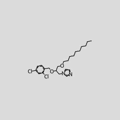 CCCCCCCCCCOCC(Cn1ccnc1)OCc1ccc(Cl)cc1Cl